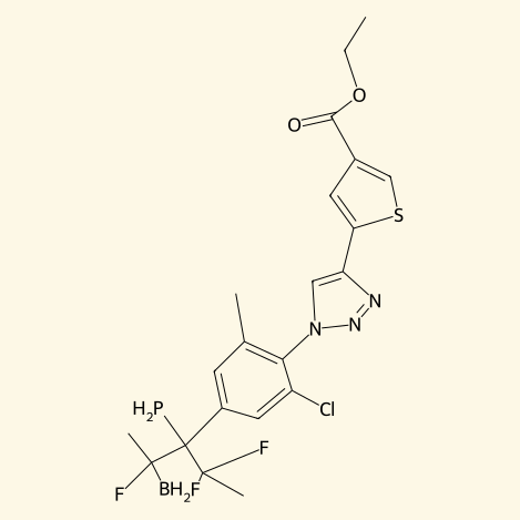 BC(C)(F)C(P)(c1cc(C)c(-n2cc(-c3cc(C(=O)OCC)cs3)nn2)c(Cl)c1)C(C)(F)F